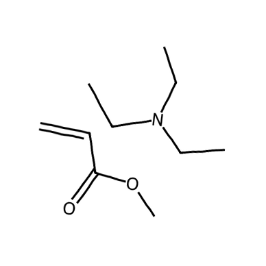 C=CC(=O)OC.CCN(CC)CC